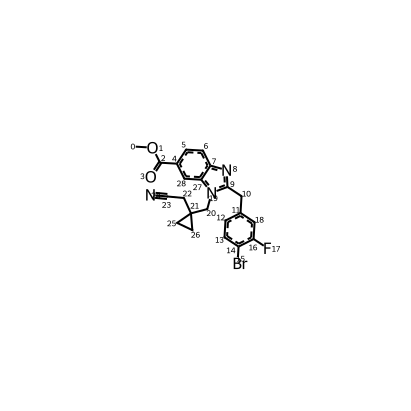 COC(=O)c1ccc2nc(Cc3ccc(Br)c(F)c3)n(CC3(CC#N)CC3)c2c1